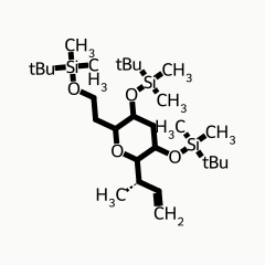 C=C[C@H](C)C1OC(CCO[Si](C)(C)C(C)(C)C)C(O[Si](C)(C)C(C)(C)C)CC1O[Si](C)(C)C(C)(C)C